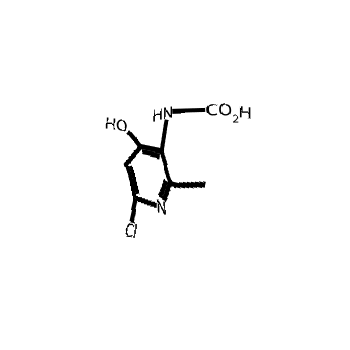 Cc1nc(Cl)cc(O)c1NC(=O)O